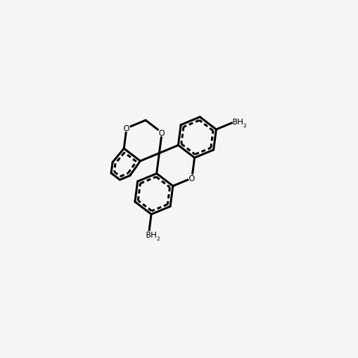 Bc1ccc2c(c1)Oc1cc(B)ccc1C21OCOc2ccccc21